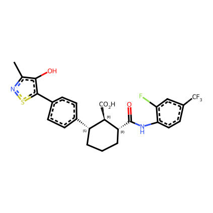 Cc1nsc(-c2ccc([C@H]3CCC[C@@H](C(=O)Nc4ccc(C(F)(F)F)cc4F)[C@@H]3C(=O)O)cc2)c1O